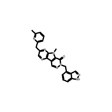 Cc1cccc(Cc2cnc3c4cnn(Cc5cccc6[nH]ncc56)c(=O)c4n(C)c3n2)n1